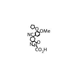 COc1ccc(C2(C#N)CCc3ncn(CC(=O)O)c(=O)c3C2)cc1OC1CCCC1